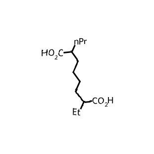 CCCC(CCCCC(CC)C(=O)O)C(=O)O